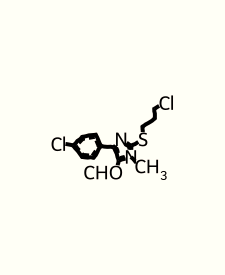 Cn1c(SCCCCl)nc(-c2ccc(Cl)cc2)c1C=O